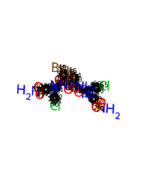 NS(=O)(=O)c1ccc(-n2nc(C(=O)NC(O[PH](=O)OC(NC(=O)c3cc(-c4ccc(Cl)cc4)n(-c4ccc(S(N)(=O)=O)cc4)n3)c3ccc(Br)cc3)c3ccc(Br)cc3)cc2-c2ccc(Cl)cc2)cc1